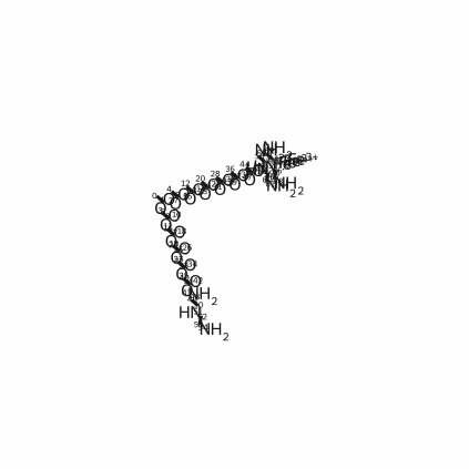 CC(=O)[O-].CC(=O)[O-].CC(=O)[O-].CC(=O)[O-].CC(=O)[O-].CC(=O)[O-].CC(=O)[O-].CC(=O)[O-].CC(=O)[O-].CC(=O)[O-].CC(=O)[O-].CC(=O)[O-].NCCNCCN.NCCNCCN.NCCNCCN.[Fe+3].[Fe+3].[Fe+3].[Fe+3]